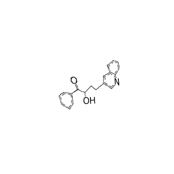 O=C(c1ccccc1)C(O)CCc1cnc2ccccc2c1